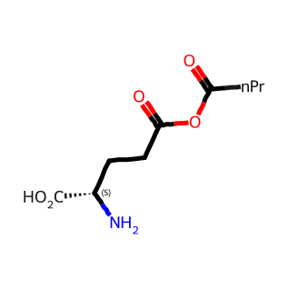 CCCC(=O)OC(=O)CC[C@H](N)C(=O)O